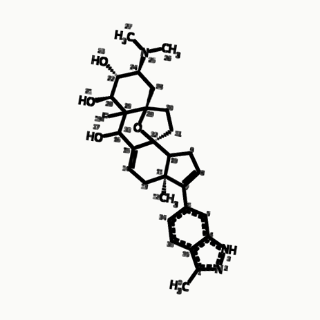 Cc1n[nH]c2cc(C3=CCC4[C@]3(C)CC=C3C(O)C5(F)[C@@H](O)[C@H](O)[C@@H](N(C)C)C[C@]56CC[C@@]34O6)ccc12